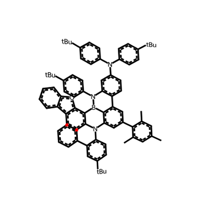 Cc1cc(C)c(-c2cc3c4c(c2)N(c2ccc(C(C)(C)C)cc2-c2ccccc2)c2ccc5c(oc6ccccc65)c2B4N(c2ccc(C(C)(C)C)cc2)c2cc(N(c4ccc(C(C)(C)C)cc4)c4ccc(C(C)(C)C)cc4)ccc2-3)c(C)c1